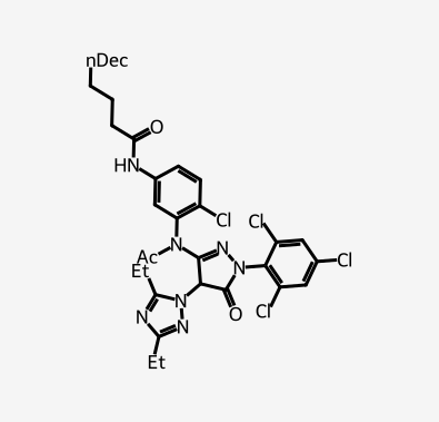 CCCCCCCCCCCCCC(=O)Nc1ccc(Cl)c(N(C(C)=O)C2=NN(c3c(Cl)cc(Cl)cc3Cl)C(=O)C2n2nc(CC)nc2CC)c1